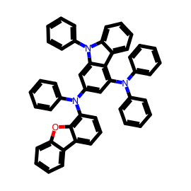 c1ccc(N(c2cc(N(c3ccccc3)c3ccccc3)c3c4ccccc4n(-c4ccccc4)c3c2)c2cccc3c2oc2ccccc23)cc1